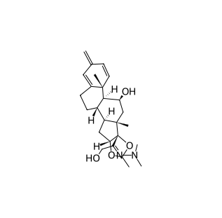 C=C1C=C[C@@]2(C)C(=C1)CC[C@@H]1[C@@H]2[C@@H](O)C[C@@]2(C)[C@H]1C[C@H]1OC(C)O[C@]12/C(CO)=N\N(C)C